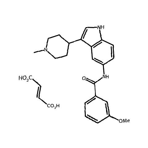 COc1cccc(C(=O)Nc2ccc3[nH]cc(C4CCN(C)CC4)c3c2)c1.O=C(O)C=CC(=O)O